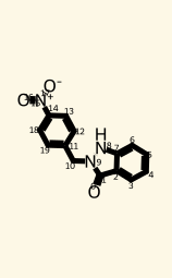 O=c1c2ccccc2[nH]n1Cc1ccc([N+](=O)[O-])cc1